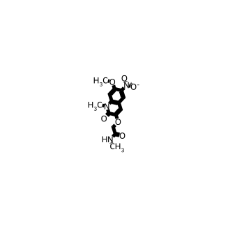 CNC(=O)COc1cc2cc([N+](=O)[O-])c(OC)cc2n(C)c1=O